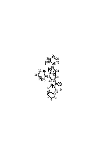 C[C@@H]1c2ccsc2CCN1C(=O)c1cc(-c2cccnc2)c2nc(-c3ccccc3F)cn2c1